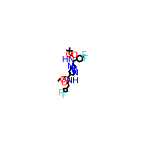 CCOC[C@H](NC(=O)CC1CC(F)(F)C1)c1cnn2cc([C@@H](NC(=O)OC(C)(C)C)C3CCC(F)(F)CC3)nc2c1